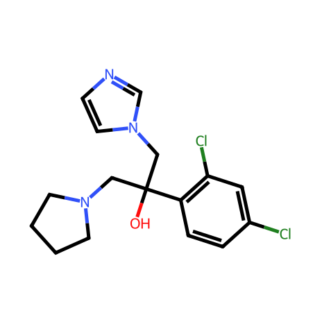 OC(CN1CCCC1)(Cn1ccnc1)c1ccc(Cl)cc1Cl